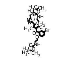 Cc1c(C(=O)c2cc(Br)ccc2OCCNC(=O)OC(C)(C)C)c(C)n(CCNC(=O)OC(C)(C)C)c1-c1nnc(CO)o1